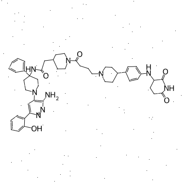 Nc1nnc(-c2ccccc2O)cc1N1CCC(NC(=O)CC2CCN(C(=O)CCCN3CCC(c4ccc(NC5CCC(=O)NC5=O)cc4)CC3)CC2)(c2ccccc2)CC1